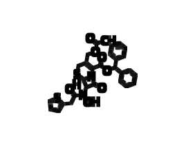 CC(=O)OCC1=C(C(=O)OC(c2ccccc2)c2ccccc2)N2C(=O)C(N(O)C(=O)Cc3cccs3)[C@H]2SC1